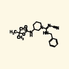 CC(C)(C)OC(=O)NC1CCCN(C(=NC#N)NCc2ccccc2)C1